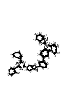 c1ccc(-c2nc(-c3ccccc3)nc(-c3ccc4nc(-c5cccc(-c6ccc7c(c6)c6ccccc6n7-c6nc7ccccc7o6)c5)oc4c3)n2)cc1